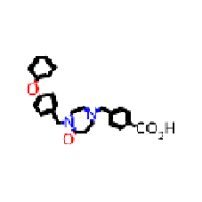 O=C(O)c1ccc(CN2CCC(=O)N(Cc3ccc(Oc4ccccc4)cc3)CC2)cc1